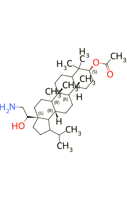 CC(=O)O[C@H]1CC[C@@]2(C)C(CC[C@]3(C)[C@@H]2CC[C@@H]2C4C(C(C)C)CC[C@]4(C(O)CN)CC[C@]23C)C1(C)C